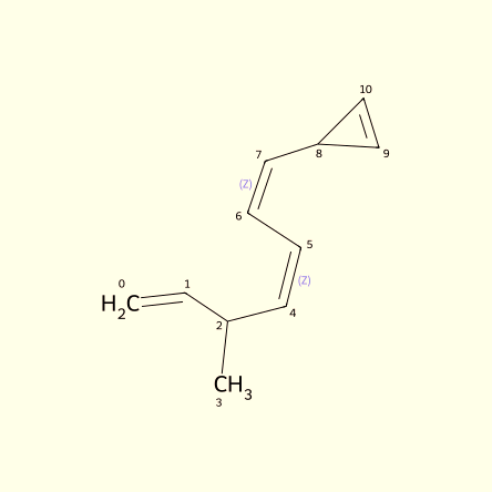 C=CC(C)/C=C\C=C/C1C=C1